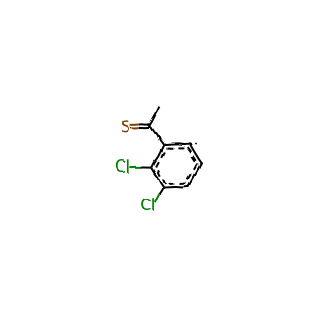 CC(=S)c1[c]ccc(Cl)c1Cl